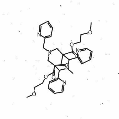 COCCOC(=O)C12CN(Cc3ccccn3)CC(C(=O)OCCOC)(C1=O)C(c1ccccn1)N(C)C2c1ccccn1